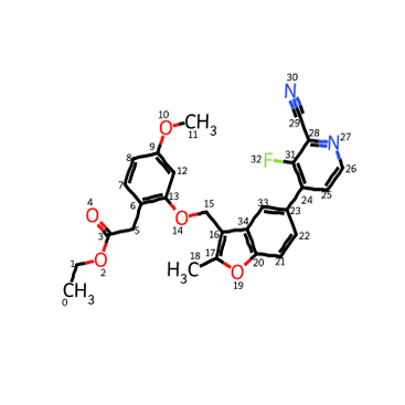 CCOC(=O)Cc1ccc(OC)cc1OCc1c(C)oc2ccc(-c3ccnc(C#N)c3F)cc12